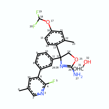 Cc1cnc(F)c(-c2cccc(C3(c4ccc(OC(F)F)cc4C)COC(N)=N3)c2)c1.O=CO